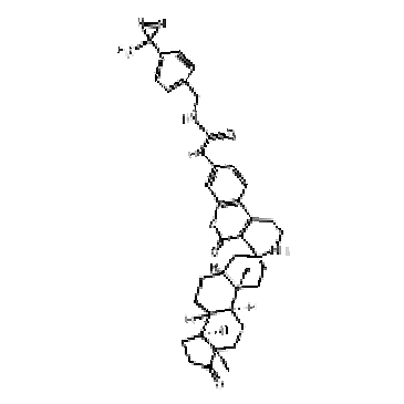 C[C@]12CC[C@]3(C[C@@H]1CC[C@@H]1[C@@H]2CC[C@]2(C)C(=O)CC[C@@H]12)NCCc1c3c(=O)oc2cc(NC(=O)NCc3ccc(C4(C(F)(F)F)N=N4)cc3)ccc12